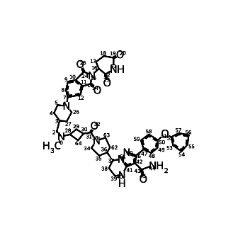 CN(CC1CCN(c2ccc3c(c2)C(=O)N(C2CCC(=O)NC2=O)C3=O)CC1)C1CC(C(=O)N2CCC([C@@H]3CCNc4c(C(N)=O)c(-c5ccc(Oc6ccccc6)cc5)nn43)CC2)C1